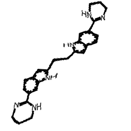 c1cc2cc(CCc3cc4ccc(C5=NCCCN5)cc4[nH]3)[nH]c2cc1C1=NCCCN1